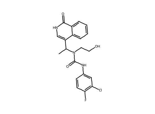 CC(c1c[nH]c(=O)c2ccccc12)N(CCO)C(=O)Nc1ccc(F)c(Cl)c1